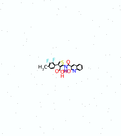 Cc1ccc(-c2csc(NC(=O)c3cc4ccccc4nc3O)c2C(=O)O)c(F)c1F